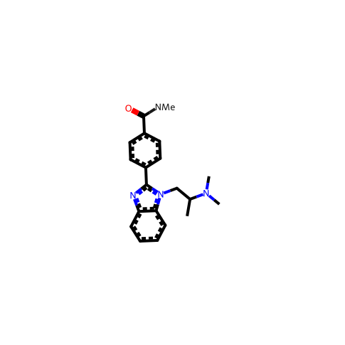 CNC(=O)c1ccc(-c2nc3ccccc3n2CC(C)N(C)C)cc1